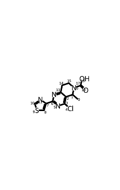 CC1c2c(Cl)nc(-c3cscn3)nc2CCN1C(=O)O